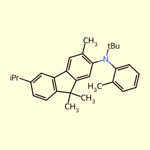 Cc1ccccc1N(c1cc2c(cc1C)-c1cc(C(C)C)ccc1C2(C)C)C(C)(C)C